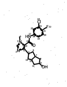 Cn1cnc(C2CC3CC(O)CC3C2)c1C(=O)Nc1ccc(F)c(Cl)c1